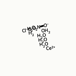 O.O.O.O.O.O.O=[N+]([O-])[O-].[Ce+2].[Cl-]